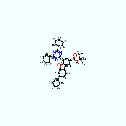 CC1(C)OB(c2cc(-c3nc(-c4ccccc4)nc(-c4ccccc4)n3)c3oc4cc(-c5ccccc5)ccc4c3c2)OC1(C)C